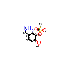 COc1ccc(CN)cc1OS(C)(=O)=O